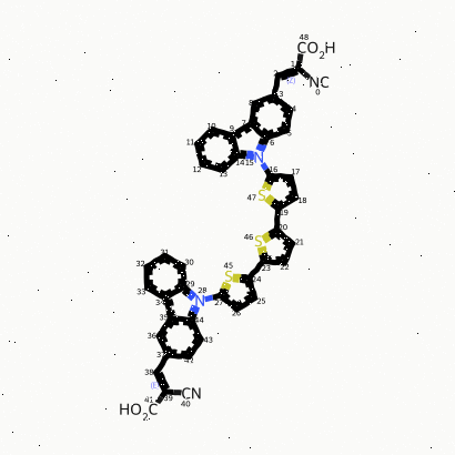 [C-]#[N+]/C(=C\c1ccc2c(c1)c1ccccc1n2-c1ccc(-c2ccc(-c3ccc(-n4c5ccccc5c5cc(/C=C(\C#N)C(=O)O)ccc54)s3)s2)s1)C(=O)O